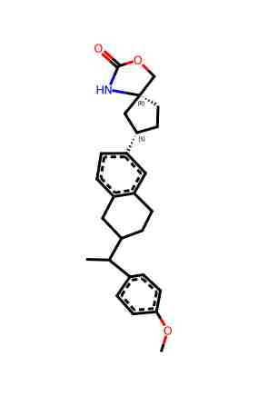 COc1ccc(C(C)C2CCc3cc([C@H]4CC[C@]5(COC(=O)N5)C4)ccc3C2)cc1